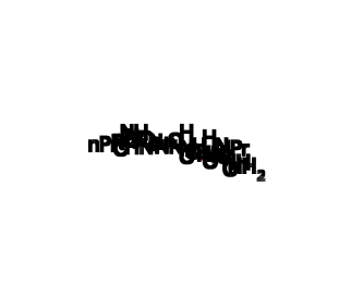 CCCN(CCC)C(=O)C1=Cc2ccc(C(=O)Nc3ccc(N4CCC(C(=O)NCCNC(=O)OCc5ccc(NC(=O)[C@H](CCCNC(N)=O)NC(=O)C(N)C(C)C)cc5)CC4)nc3)cc2N=C(N)C1